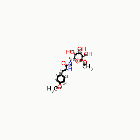 COc1ccc(C=CC(=O)NC[C@H]2O[C@H](OC)[C@@H](O)[C@@H](O)[C@@H]2O)cc1